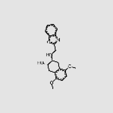 COc1ccc(OC)c2c1C[C@H](NCc1nc3ccccc3o1)[C@@H](O)C2